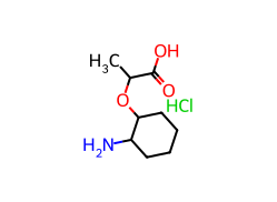 CC(OC1CCCCC1N)C(=O)O.Cl